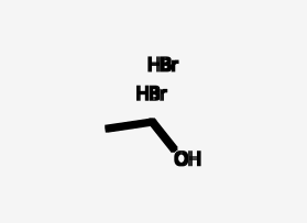 Br.Br.CCO